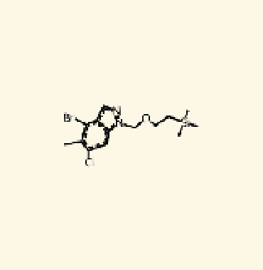 Cc1c(Cl)cc2c(cnn2COCC[Si](C)(C)C)c1Br